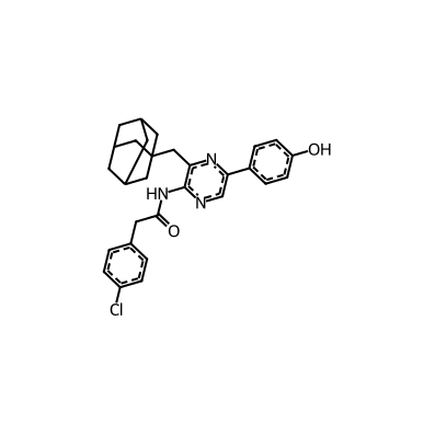 O=C(Cc1ccc(Cl)cc1)Nc1ncc(-c2ccc(O)cc2)nc1CC12CC3CC(CC(C3)C1)C2